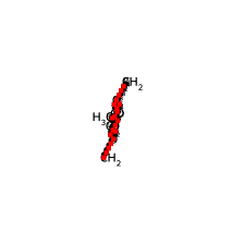 C=CCCCCCCOc1ccc(C(=O)Oc2ccc(OC(=O)c3ccc(OCCCCCCC=C)cc3)c(C)c2)cc1